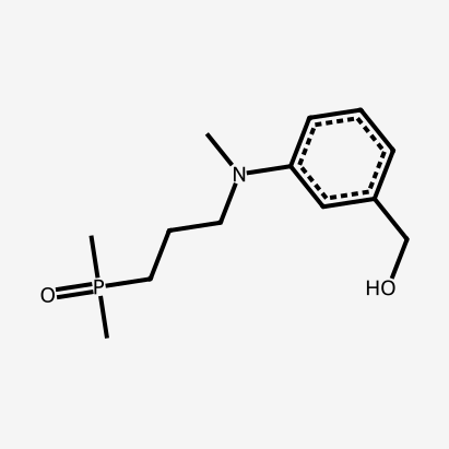 CN(CCCP(C)(C)=O)c1cccc(CO)c1